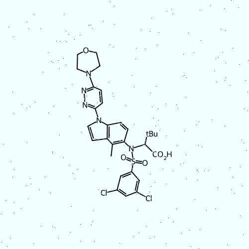 Cc1c(N(C(C(=O)O)C(C)(C)C)S(=O)(=O)c2cc(Cl)cc(Cl)c2)ccc2c1ccn2-c1ccc(N2CCOCC2)nn1